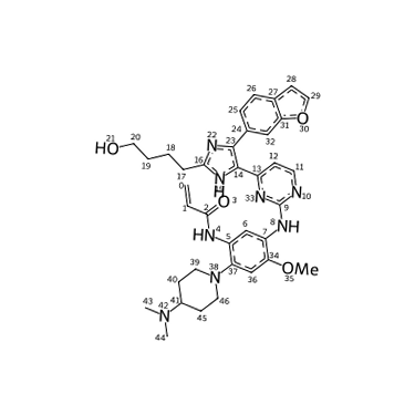 C=CC(=O)Nc1cc(Nc2nccc(-c3[nH]c(CCCCO)nc3-c3ccc4ccoc4c3)n2)c(OC)cc1N1CCC(N(C)C)CC1